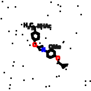 COc1cc(OCC2CC2)ccc1N1CC(Oc2ccc([C@H](C)NC(C)=O)cc2)C1